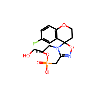 CCOP(=O)(O)CC1=NOC2(CCOc3ccc(F)cc32)N1CCCO